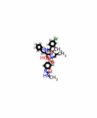 CNc1nc2ccc(S(=O)(=O)N(CC(C)C)CC(O)C(Cc3ccccc3)NC(=O)c3ccc(Br)cc3C)cc2o1